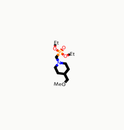 CCOP(=O)(CN1CCC(COC)CC1)OCC